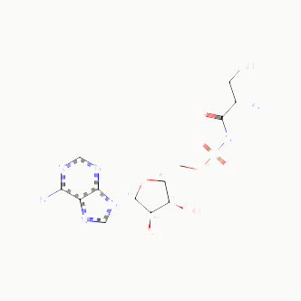 Nc1ncnc2c1ncn2[C@@H]1O[C@H](COS(=O)(=O)NC(=O)[C@@H](N)CS)[C@@H](O)[C@H]1O